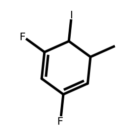 CC1C=C(F)C=C(F)C1I